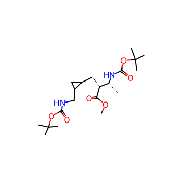 COC(=O)[C@H](CC1CC1CNC(=O)OC(C)(C)C)[C@@H](C)NC(=O)OC(C)(C)C